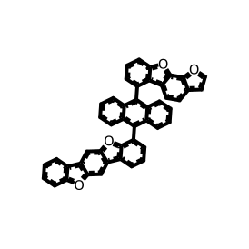 c1ccc2c(c1)oc1cc3c(cc12)oc1c(-c2c4ccccc4c(-c4cccc5oc6c(ccc7ccoc76)c45)c4ccccc24)cccc13